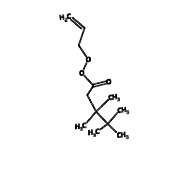 C=CCOOC(=O)CC(C)(C)C(C)(C)C